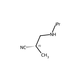 CC(C)NC[C@H](C)C#N